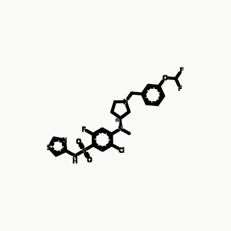 CN(c1cc(F)c(S(=O)(=O)Nc2cscn2)cc1Cl)[C@H]1CCN(Cc2cccc(OC(F)F)c2)C1